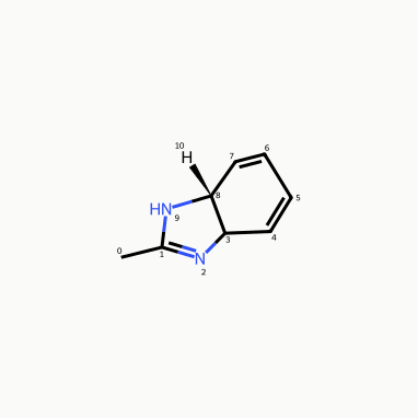 CC1=NC2C=CC=C[C@H]2N1